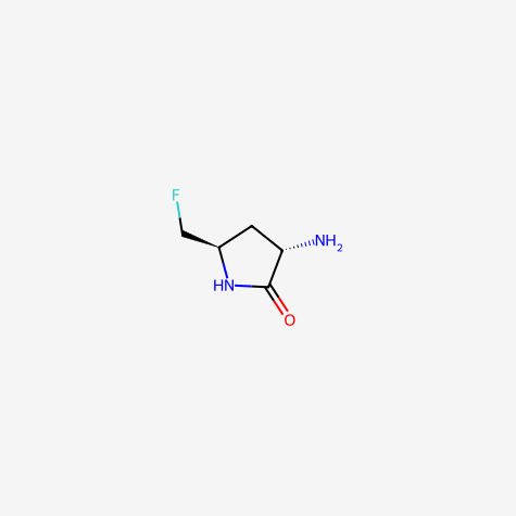 N[C@H]1C[C@H](CF)NC1=O